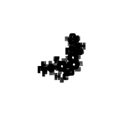 COc1cc(C2CC(C(F)(F)F)C2)c(F)cc1-n1c(=O)ccc2cc(S(=O)(=O)Nc3ccon3)c(F)cc21